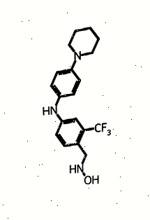 ONCc1ccc(Nc2ccc(N3CCCCC3)cc2)cc1C(F)(F)F